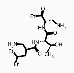 CCC(=O)[C@H](CN)NC(=O)[C@@H](NC(=O)C(CN)CC(CC)CC)[C@H](C)O